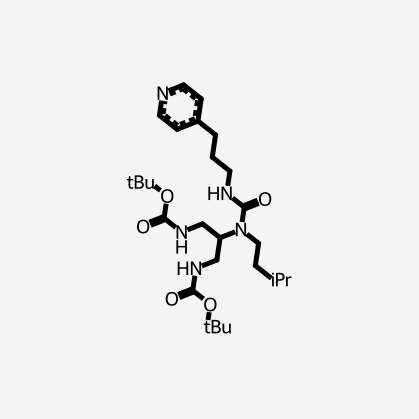 CC(C)CCN(C(=O)NCCCc1ccncc1)C(CNC(=O)OC(C)(C)C)CNC(=O)OC(C)(C)C